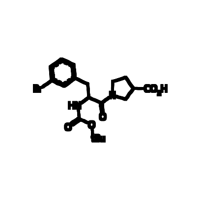 CC(C)(C)OC(=O)NC(Cc1cccc(Br)c1)C(=O)N1CCC(C(=O)O)C1